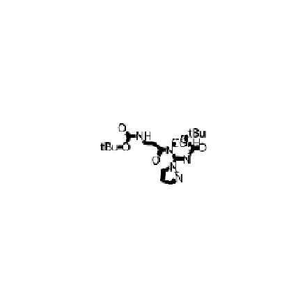 CC(C)(C)OC(=O)N=C(N(C(=O)O)C(=O)CCNC(=O)OC(C)(C)C)n1cccn1